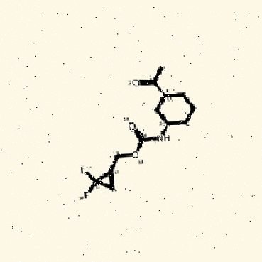 CC(=O)[C@H]1CCC[C@@H](NC(=O)OCC2CC2(F)F)C1